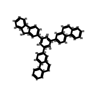 c1ccc2c(c1)ccc1cc(-c3nc(-c4ccc5c(ccc6ccccc65)c4)nc(-c4ccc5c(c4)sc4ccccc45)n3)ccc12